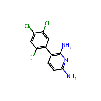 Nc1ccc(-c2cc(Cl)c(Cl)cc2Cl)c(N)n1